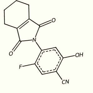 N#Cc1cc(F)c(N2C(=O)C3=C(CCCC3)C2=O)cc1O